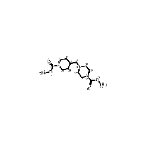 CC(C)(C)OC(=O)N1CCC(CN2CCN(C(=O)OC(C)(C)C)CC2)CC1